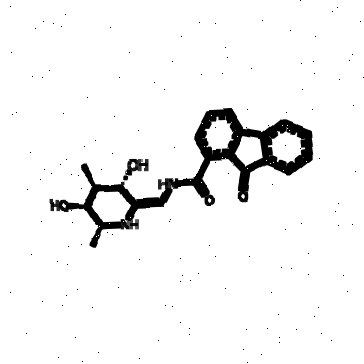 C[C@@H]1[C@H](O)[C@H](C)N/C(=C/NC(=O)c2cccc3c2C(=O)c2ccccc2-3)[C@H]1O